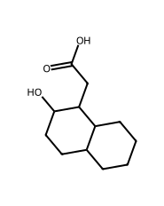 O=C(O)CC1C(O)CCC2CCCCC21